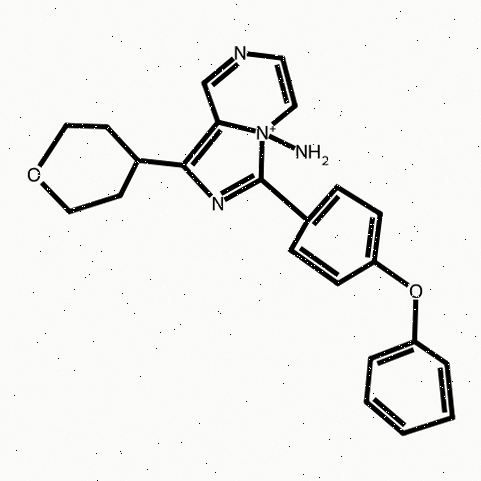 N[N+]12C=CN=CC1=C(C1CCOCC1)N=C2c1ccc(Oc2ccccc2)cc1